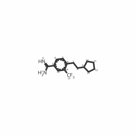 N=C(N)c1ccc(CCC2CCCC2)c(C(F)(F)F)c1